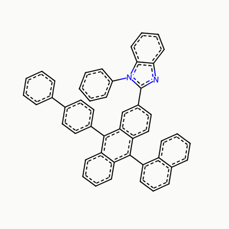 c1ccc(-c2ccc(-c3c4ccccc4c(-c4cccc5ccccc45)c4ccc(-c5nc6ccccc6n5-c5ccccc5)cc34)cc2)cc1